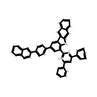 c1ccc(-c2cc(-c3ccccc3)nc(-c3cc(-c4ccc(-c5ccc6ccccc6c5)cc4)cc4c3oc3cc5ccccc5cc34)n2)cc1